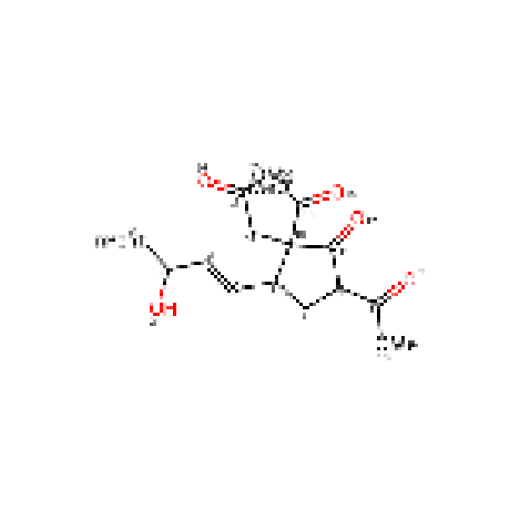 CCCCCC(O)C=CC1CC(C(=O)OC)C(=O)C1(CC(=O)OC)C(=O)OC